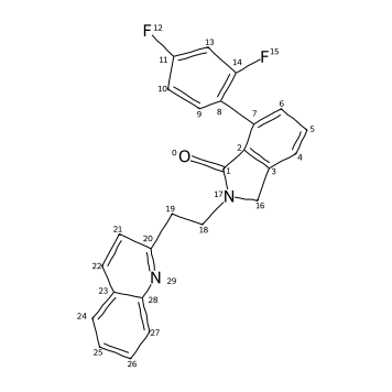 O=C1c2c(cccc2-c2ccc(F)cc2F)CN1CCc1ccc2ccccc2n1